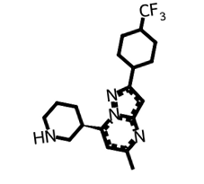 Cc1cc([C@@H]2CCCNC2)n2nc(C3CCC(C(F)(F)F)CC3)cc2n1